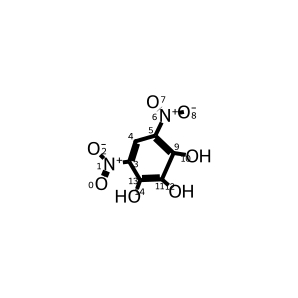 O=[N+]([O-])c1cc([N+](=O)[O-])c(O)c(O)c1O